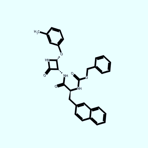 Cc1cccc(O[C@H]2NC(=O)[C@H]2NC(=O)[C@H](Cc2ccc3ccccc3c2)NC(=O)OCc2ccccc2)c1